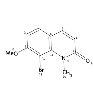 COc1ccc2ccc(=O)n(C)c2c1Br